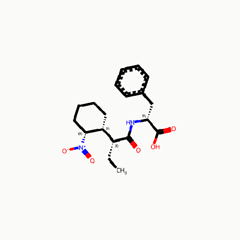 CC[C@@H](C(=O)N[C@H](Cc1ccccc1)C(=O)O)[C@H]1CCCC[C@H]1[N+](=O)[O-]